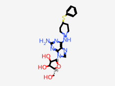 Nc1nc(NN2CCC(Sc3ccccc3)CC2)c2ncn([C@@H]3O[C@H](CO)C(O)C3O)c2n1